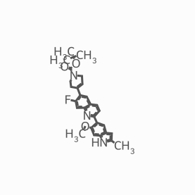 COc1cc2[nH]c(C)cc2cc1-c1ccc2cc(C3=CCN(C(=O)OC(C)(C)C)CC3)c(F)cc2n1